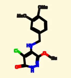 CCC(C)Oc1n[nH]c(=O)c(Cl)c1NCc1ccc(OC)c(OC)c1